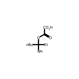 CCCCC(CC)(CCC)OC(=O)C(=O)O